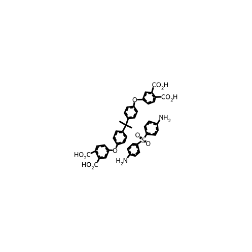 CC(C)(c1ccc(Oc2ccc(C(=O)O)c(C(=O)O)c2)cc1)c1ccc(Oc2ccc(C(=O)O)c(C(=O)O)c2)cc1.Nc1ccc(S(=O)(=O)c2ccc(N)cc2)cc1